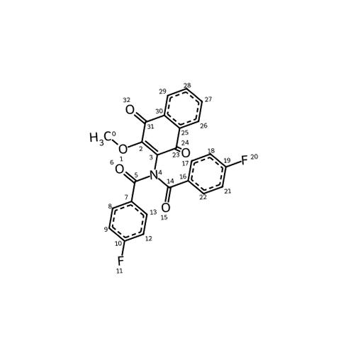 COC1=C(N(C(=O)c2ccc(F)cc2)C(=O)c2ccc(F)cc2)C(=O)c2ccccc2C1=O